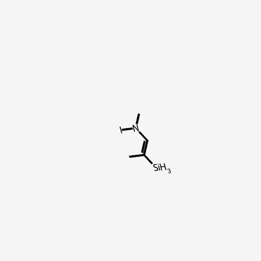 C/C([SiH3])=C\N(C)I